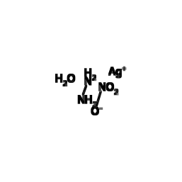 NN.O.O=[N+]([O-])[O-].[Ag+]